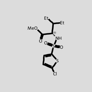 CCC(CC)[C@H](NS(=O)(=O)c1ccc(Cl)s1)C(=O)OC